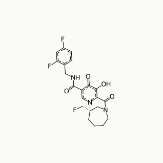 O=C(NCc1ccc(F)cc1F)c1cn2c(c(O)c1=O)C(=O)N1CCCC[C@]2(CF)C1